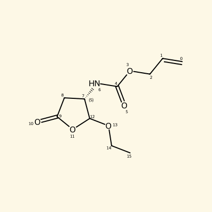 C=CCOC(=O)N[C@H]1CC(=O)OC1OCC